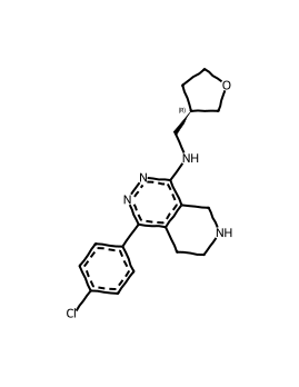 Clc1ccc(-c2nnc(NC[C@H]3CCOC3)c3c2CCNC3)cc1